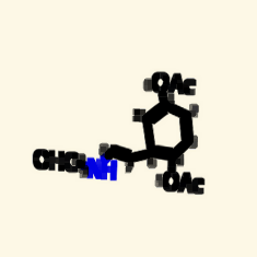 CC(=O)Oc1ccc(OC(C)=O)c(C=CNC=O)c1